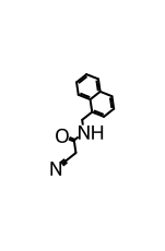 N#CCC(=O)NCc1cccc2ccccc12